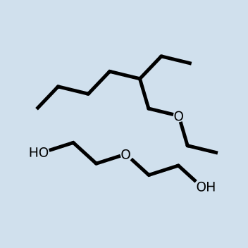 CCCCC(CC)COCC.OCCOCCO